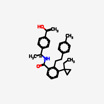 C=C(O)c1ccc([C@H](C)NC(=O)c2cccc(C3(CC)CC3)c2CCc2ccc(C)cc2)cc1